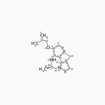 CC(C)COc1ccc2c(c1)-c1c(ccn1C[C@@H](C)N)C2